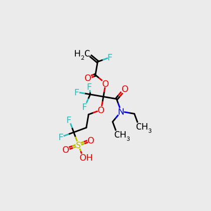 C=C(F)C(=O)OC(OCCC(F)(F)S(=O)(=O)O)(C(=O)N(CC)CC)C(F)(F)F